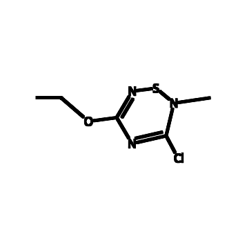 CCOC1=NSN(C)C(Cl)=N1